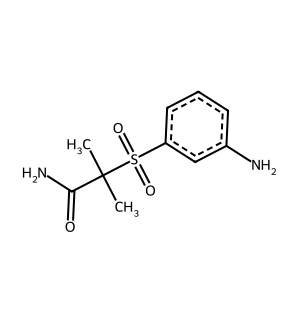 CC(C)(C(N)=O)S(=O)(=O)c1cccc(N)c1